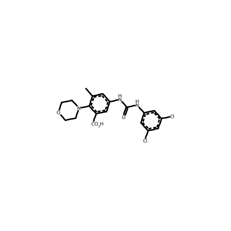 Cc1cc(NC(=O)Nc2cc(Cl)cc(Cl)c2)cc(C(=O)O)c1N1CCOCC1